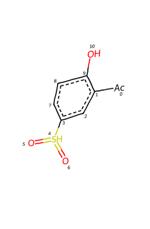 CC(=O)c1cc([SH](=O)=O)ccc1O